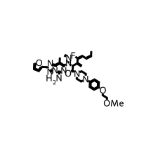 C=NN(c1nc(N)n2nc(-c3ccco3)nc2c1C)[C@@H](C(=C)/C(F)=C\C=C/C)C(=O)N1CCN(c2ccc(OCCOC)cc2)CC1